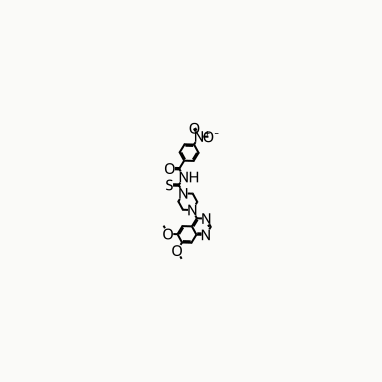 COc1cc2ncnc(N3CCN(C(=S)NC(=O)c4ccc([N+](=O)[O-])cc4)CC3)c2cc1OC